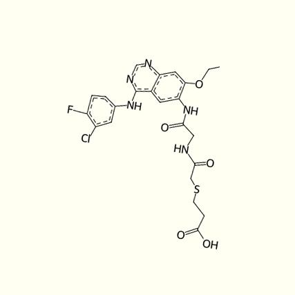 CCOc1cc2ncnc(Nc3ccc(F)c(Cl)c3)c2cc1NC(=O)CNC(=O)CSCCC(=O)O